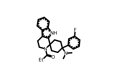 CCC(=O)N1CCc2c([nH]c3ccccc23)C12CCC(c1cccc(F)c1)(N(C)C)CC2